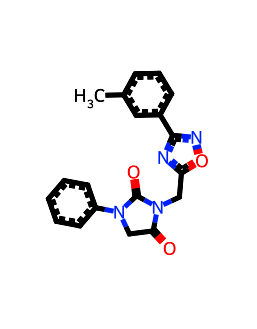 Cc1cccc(-c2noc(CN3C(=O)CN(c4ccccc4)C3=O)n2)c1